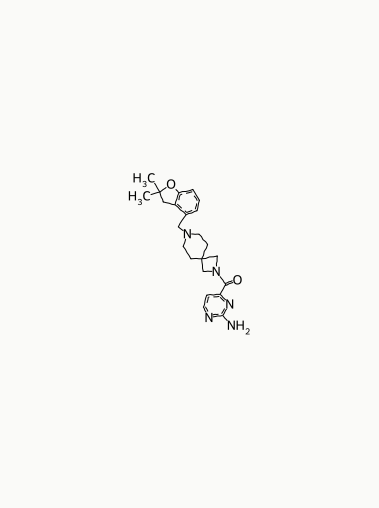 CC1(C)Cc2c(CN3CCC4(CC3)CN(C(=O)c3ccnc(N)n3)C4)cccc2O1